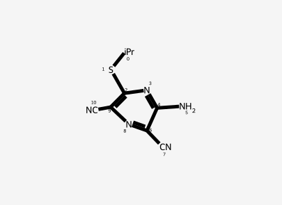 CC(C)Sc1nc(N)c(C#N)nc1C#N